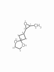 CC1OC1C1CC2(C1)OCCO2